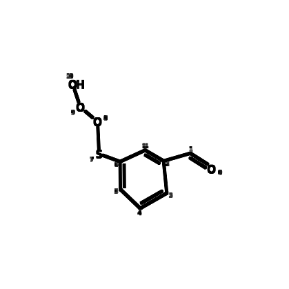 O=Cc1cccc(SOOO)c1